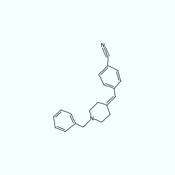 N#Cc1ccc(C=C2CCN(Cc3ccccc3)CC2)cc1